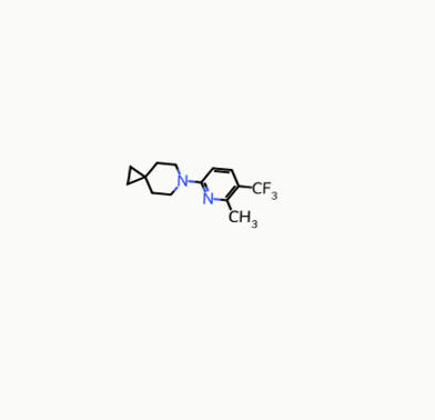 Cc1nc(N2CCC3(CC2)CC3)ccc1C(F)(F)F